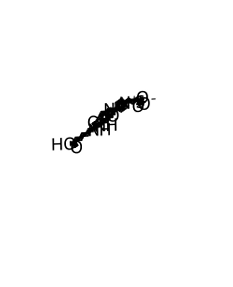 O=C(O)CCCCCNC(=O)Nc1ccc2nc(-c3cc[n+](CCCS(=O)(=O)[O-])cc3)oc2c1